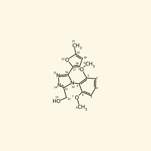 COc1cccc(OC)c1-n1c(CO)nnc1-c1ccc(C)o1